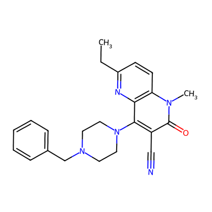 CCc1ccc2c(n1)c(N1CCN(Cc3ccccc3)CC1)c(C#N)c(=O)n2C